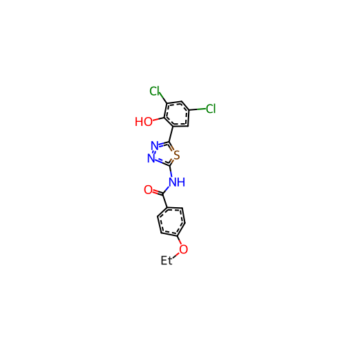 CCOc1ccc(C(=O)Nc2nnc(-c3cc(Cl)cc(Cl)c3O)s2)cc1